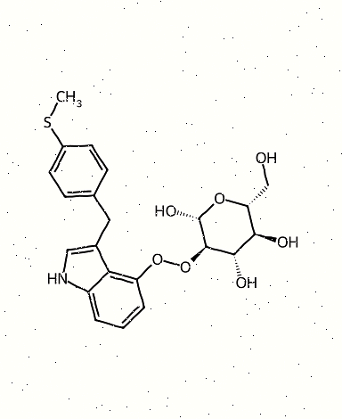 CSc1ccc(Cc2c[nH]c3cccc(OO[C@@H]4[C@@H](O)[C@H](O)[C@@H](CO)O[C@H]4O)c23)cc1